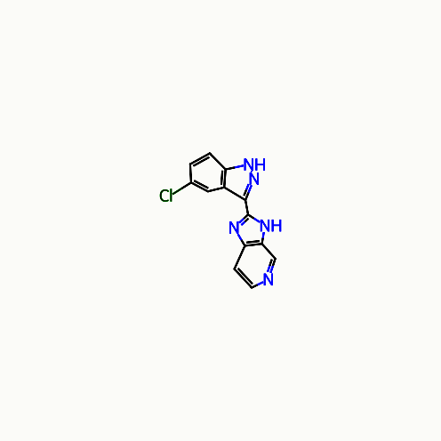 Clc1ccc2[nH]nc(-c3nc4ccncc4[nH]3)c2c1